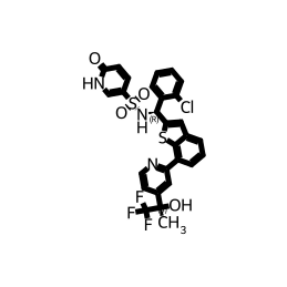 C[C@](O)(c1ccnc(-c2cccc3cc([C@H](NS(=O)(=O)c4ccc(=O)[nH]c4)c4ccccc4Cl)sc23)c1)C(F)(F)F